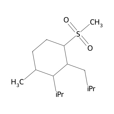 CC(C)CC1C(C(C)C)C(C)CCC1S(C)(=O)=O